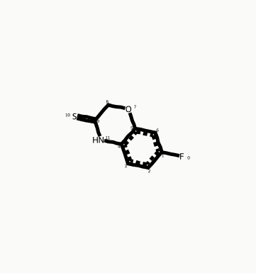 Fc1ccc2c(c1)OCC(=S)N2